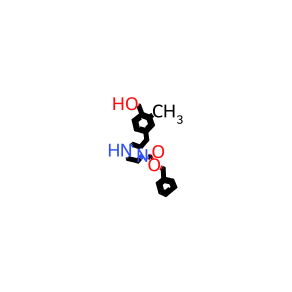 Cc1cc(CC2CNCCN2C(=O)OCc2ccccc2)ccc1CO